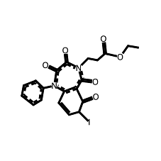 CCOC(=O)CCn1c(=O)c2c(n(-c3ccccc3)c(=O)c1=O)C=CC(I)C2=O